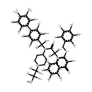 [2H]c1c([2H])c(F)c(F)c(CSc2c([2H])c(=O)c3c([2H])c([2H])c([2H])c([2H])c3n2C([2H])([2H])C(=O)N(C2CCN(C([2H])([2H])C([2H])([2H])OC)CC2)C([2H])([2H])c2c([2H])c([2H])c(-c3c([2H])c([2H])c(C(F)(F)F)c(C)c3[2H])c([2H])c2[2H])c1[2H]